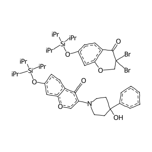 CC(C)[Si](Oc1ccc2c(=O)c(N3CCC(O)(c4ccccc4)CC3)coc2c1)(C(C)C)C(C)C.CC(C)[Si](Oc1ccc2c(c1)OCC(Br)(Br)C2=O)(C(C)C)C(C)C